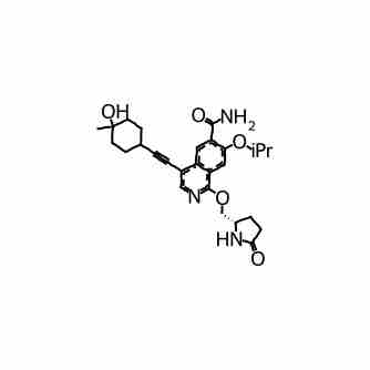 CC(C)Oc1cc2c(OC[C@@H]3CCC(=O)N3)ncc(C#CC3CCC(C)(O)CC3)c2cc1C(N)=O